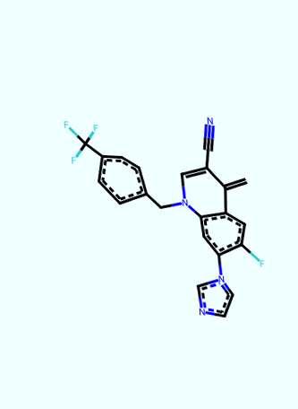 C=C1C(C#N)=CN(Cc2ccc(C(F)(F)F)cc2)c2cc(-n3ccnc3)c(F)cc21